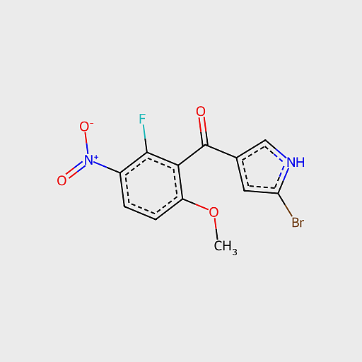 COc1ccc([N+](=O)[O-])c(F)c1C(=O)c1c[nH]c(Br)c1